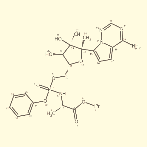 CC(C)OC(=O)[C@H](C)NP(=O)(OC[C@H]1O[C@@](C)(c2ccc3c(N)ncnn23)[C@@](O)(C#N)[C@@H]1O)Oc1ccccc1